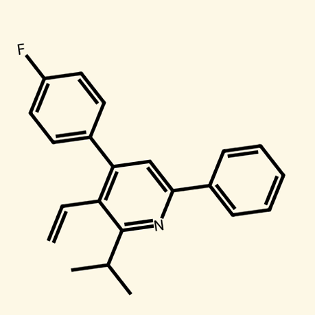 C=Cc1c(-c2ccc(F)cc2)cc(-c2ccccc2)nc1C(C)C